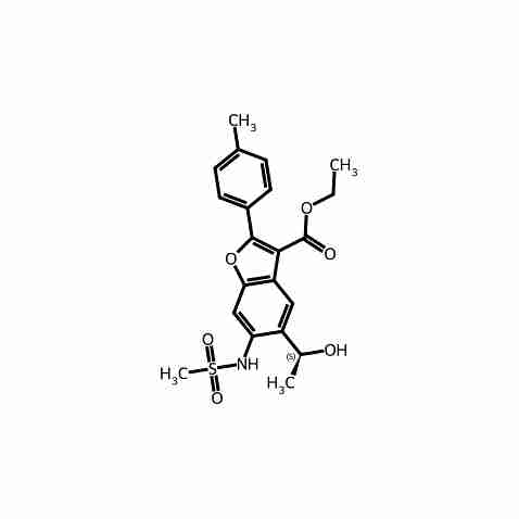 CCOC(=O)c1c(-c2ccc(C)cc2)oc2cc(NS(C)(=O)=O)c([C@H](C)O)cc12